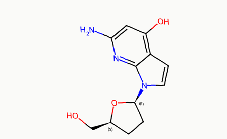 Nc1cc(O)c2ccn([C@H]3CC[C@@H](CO)O3)c2n1